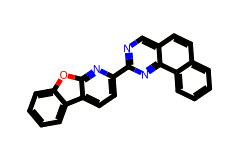 c1ccc2c(c1)ccc1cnc(-c3ccc4c(n3)oc3ccccc34)nc12